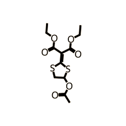 CCOC(=O)C(C(=O)OCC)=C1SCC(OC(C)=O)S1